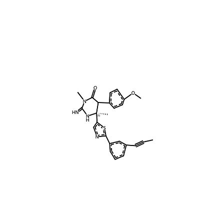 CC#Cc1cccc(-c2ncc([C@@]3(C)NC(=N)N(C)C(=O)C3c3ccc(OC)cc3)s2)c1